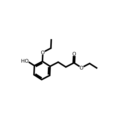 CCOC(=O)CCc1cccc(O)c1OCC